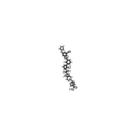 Cc1c(-c2nc3cc(CN4CCCC4)cc(C#N)c3o2)cccc1-c1cccc(NC(=O)c2nc3c(n2C)CCN(CC24CCC(C(=O)O)(CC2)C4)C3)c1Cl